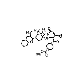 CC(CC1CCCCC1)C(=O)N1CC[C@@](O)(Cn2cc(C(=O)N3CCN(C(=O)OC(C)(C)C)CC3)c(C3CC3)cc2=O)C(C)(C)C1